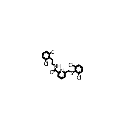 O=C(NCCc1c(Cl)cccc1Cl)c1cccc(CSc2c(Cl)cccc2Cl)n1